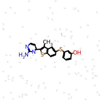 Cc1c(-c2ccnc(N)n2)sc2ccc(Sc3cccc(O)c3)cc12